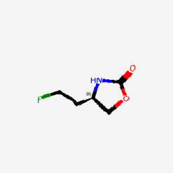 O=C1N[C@H](CCF)CO1